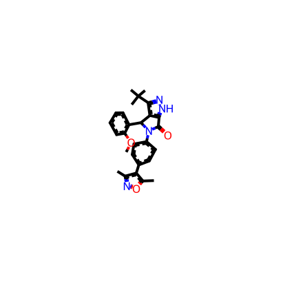 COc1ccccc1C1c2c(C(C)(C)C)n[nH]c2C(=O)N1c1ccc(-c2c(C)noc2C)cc1